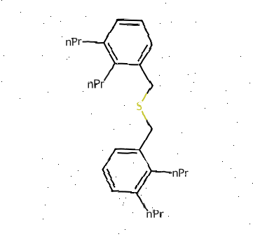 CCCc1cccc(CSCc2cccc(CCC)c2CCC)c1CCC